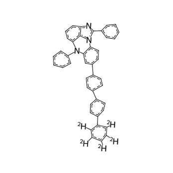 [2H]c1c([2H])c([2H])c(-c2ccc(-c3ccc(-c4ccc5c(c4)N(c4ccccc4)c4cccc6nc(-c7ccccc7)n-5c46)cc3)cc2)c([2H])c1[2H]